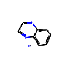 [N].c1ccc2nccnc2c1